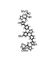 COC(=O)N[C@H](C(=O)N1CCC[C@H]1c1nc(-c2ccc([C@@H]3CC[C@@H](c4ccc(-c5c[nH]c([C@@H]6CCCN6C(=O)[C@@H](NC(=O)OC)C(C)C)n5)cc4)N3c3ccc(C(C)(C)C)cc3)cc2)c[nH]1)C(C)C